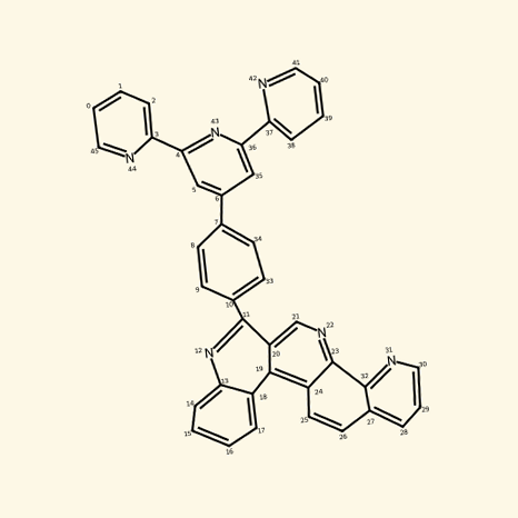 c1ccc(-c2cc(-c3ccc(-c4nc5ccccc5c5c4cnc4c5ccc5cccnc54)cc3)cc(-c3ccccn3)n2)nc1